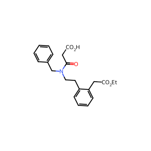 CCOC(=O)Cc1ccccc1CCN(Cc1ccccc1)C(=O)CC(=O)O